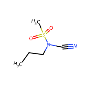 CCCN(C#N)S(C)(=O)=O